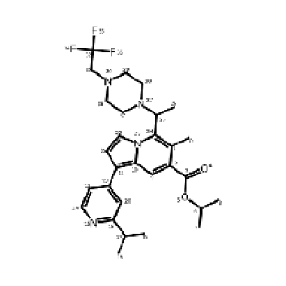 Cc1c(C(=O)OC(C)C)cc2c(-c3ccnc(C(C)C)c3)ccn2c1C(C)N1CCN(CC(F)(F)F)CC1